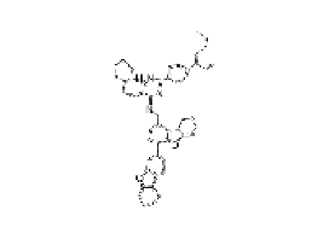 C=C/C(=C\C=C/C)c1ccc(/C(N)=N/C(=N\Cc2ccc(-c3ccc4c(c3)oc3ccccc34)c3oc4ccccc4c23)c2ccc3ccccc3c2)cc1